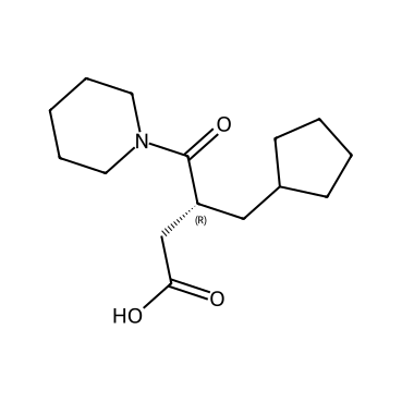 O=C(O)C[C@@H](CC1CCCC1)C(=O)N1CCCCC1